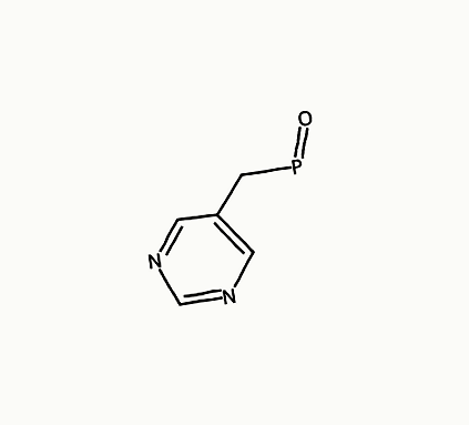 O=PCc1cncnc1